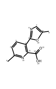 Cc1ccc(-c2ncc(C)o2)c(C(=O)O)n1